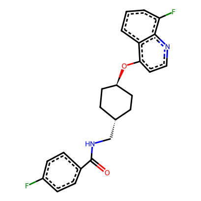 O=C(NC[C@H]1CC[C@H](Oc2ccnc3c(F)cccc23)CC1)c1ccc(F)cc1